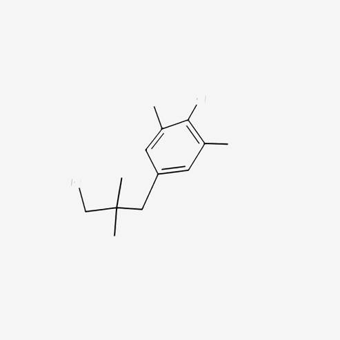 Cc1cc(CC(C)(C)CO)cc(C)c1O